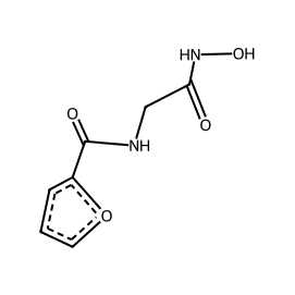 O=C(CNC(=O)c1ccco1)NO